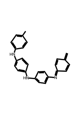 C=C1C=CC(=Nc2ccc(Nc3ccc(Nc4ccc(C)cc4)cc3)cc2)C=C1